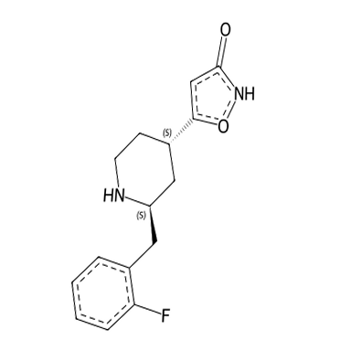 O=c1cc([C@H]2CCN[C@H](Cc3ccccc3F)C2)o[nH]1